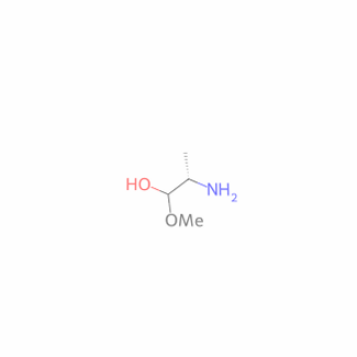 COC(O)[C@H](C)N